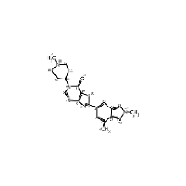 Cc1cc(-c2nc3ncn(C4CCN(C)CC4)c(=O)c3s2)cc2cn(C)nc12